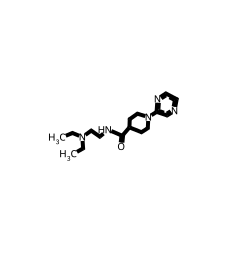 CCN(CC)CCNC(=O)C1CCN(c2cnccn2)CC1